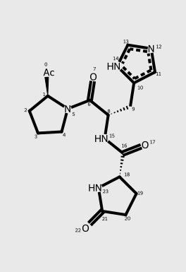 CC(=O)[C@@H]1CCCN1C(=O)[C@H](Cc1cnc[nH]1)NC(=O)[C@@H]1CCC(=O)N1